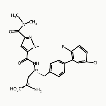 CN(C)C(=O)c1cc(C(=O)N[C@H](Cc2ccc(-c3cc(Cl)ccc3F)cc2)C[C@@H](N)C(=O)O)[nH]n1